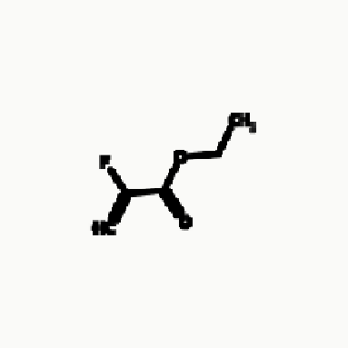 [CH]=C(F)C(=O)OCC